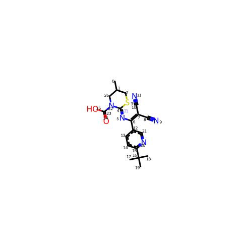 CC1CS/C(=N\C(=C(C#N)C#N)c2ccc(C(C)(C)C)nc2)N(C(=O)O)C1